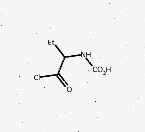 CCC(NC(=O)O)C(=O)Cl